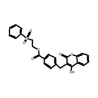 O=C(OCCS(=O)(=O)c1ccccc1)c1ccc(Cc2c(O)c3ccccc3oc2=O)cc1